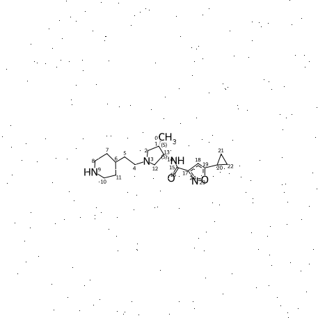 C[C@H]1CN(CCC2CCNCC2)C[C@H]1NC(=O)c1cc(C2CC2)on1